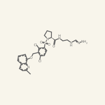 Cc1ccc2cccc(OCc3c(Cl)ccc(S(=O)(=O)N4CCC[C@H]4C(=O)NCCNC=NN)c3Cl)c2n1